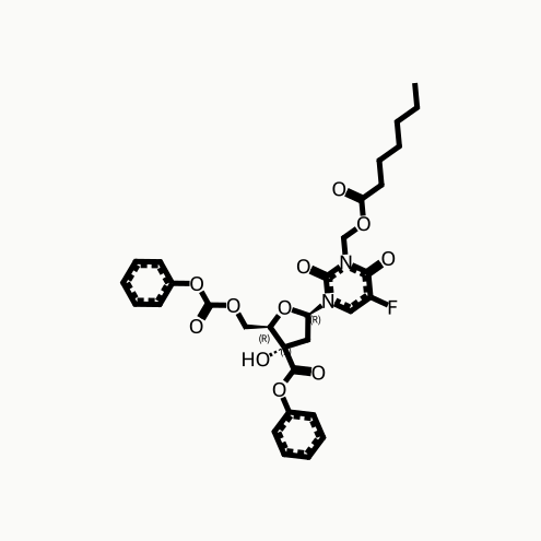 CCCCCCC(=O)OCn1c(=O)c(F)cn([C@H]2C[C@@](O)(C(=O)Oc3ccccc3)[C@@H](COC(=O)Oc3ccccc3)O2)c1=O